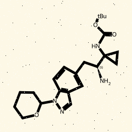 CC(C)(C)OC(=O)NC1([C@@H](N)Cc2ccc3c(cnn3C3CCCCO3)c2)CC1